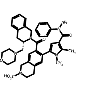 CCCN(C(=O)c1cc(-c2cc3c(cc2C(=O)N2Cc4ccccc4C[C@H]2CN2CCOCC2)CN(C(=O)O)CC3)n(C)c1C)c1ccccc1